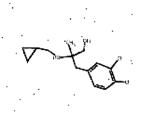 CC(CO)(Cc1ccc(Cl)c(Cl)c1)NCC1CC1